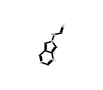 O=CNn1cc2cncnc2c1